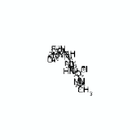 Cc1cnc(-c2cc(Cl)cc(Nc3ccc(/C=N/Nc4ncc(F)c(N5CCOCC5)n4)nc3)c2)nc1